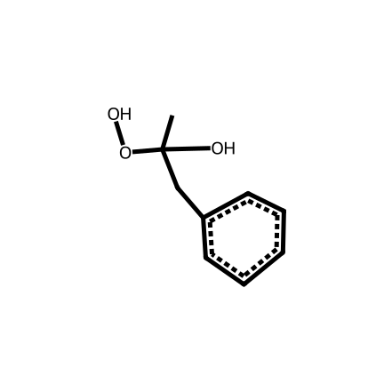 CC(O)(Cc1ccccc1)OO